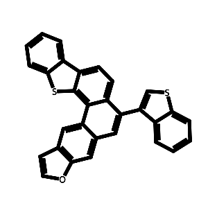 c1ccc2c(-c3cc4cc5occc5cc4c4c3ccc3c5ccccc5sc34)csc2c1